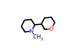 CN1CCCCC1C1[C]OCCC1